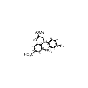 COC(=O)CN(c1ccc(F)cc1)c1ccc(C(=O)O)cc1[N+](=O)[O-]